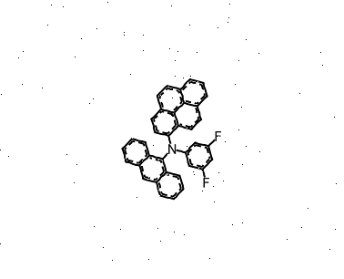 Fc1cc(F)cc(N(c2c3ccccc3cc3ccccc23)c2ccc3ccc4cccc5ccc2c3c45)c1